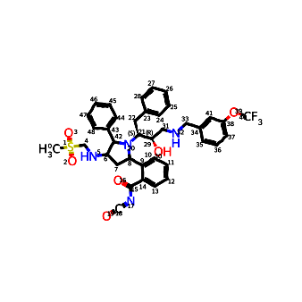 CS(=O)(=O)CNC1CC(c2ccccc2C(=O)N=C=O)N([C@@H](Cc2ccccc2)[C@H](O)CNCc2cccc(OC(F)(F)F)c2)C1c1ccccc1